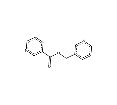 O=C(OCc1cccnc1)c1cccnc1